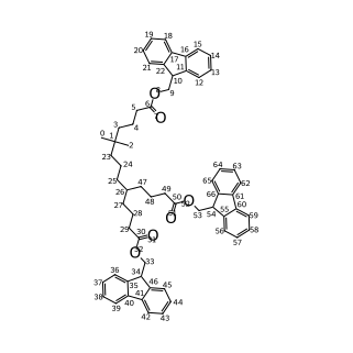 CC(C)(CCCC(=O)OCC1c2ccccc2-c2ccccc21)CCCC(CCCC(=O)OCC1c2ccccc2-c2ccccc21)CCCC(=O)OCC1c2ccccc2-c2ccccc21